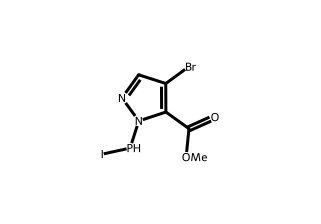 COC(=O)c1c(Br)cnn1PI